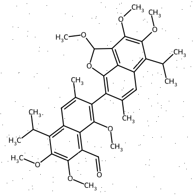 COc1c(OC)c(C=O)c2c(OC)c(-c3c(C)cc4c(C(C)C)c(OC)c(OC)c5c4c3OC5OC)c(C)cc2c1C(C)C